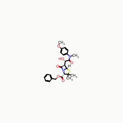 COc1ccc(N(C)C(=O)[C@@H](O)[C@@H]2C(=O)N3[C@@H]2SC(C)(C)[C@@H]3C(=O)OCc2ccccc2)cc1